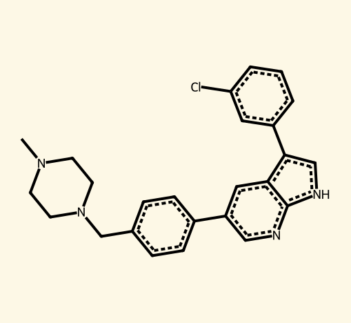 CN1CCN(Cc2ccc(-c3cnc4[nH]cc(-c5cccc(Cl)c5)c4c3)cc2)CC1